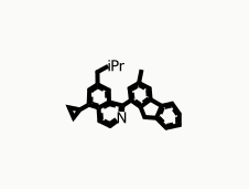 Cc1cc2c(c(-c3nccc4c(C5CC5)cc(CC(C)C)cc34)c1)Cc1ccccc1-2